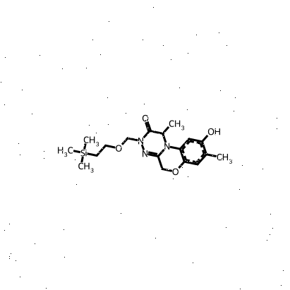 Cc1cc2c(cc1O)N1C(=NN(COCC[Si](C)(C)C)C(=O)C1C)CO2